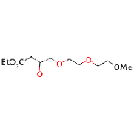 CCOC(=O)CC(=O)COCCOCCOC